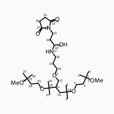 COC(C)(C)CCOC(C)(C)CC(COCCCNC(O)CCN1C(=O)CCC1=O)C(C)(C)OCCC(C)(C)OC